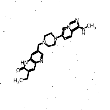 CCc1cc2ncc(CN3CCN(c4ccc5c(NC)ncn5c4)CC3)cc2[nH]c1=O